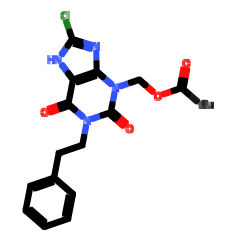 CC(C)(C)C(=O)OCn1c(=O)n(CCc2ccccc2)c(=O)c2[nH]c(Cl)nc21